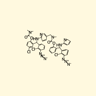 CN(C)C(=O)Oc1ccc(Cl)cc1C(Nc1ccc(CN(C)C(=O)Oc2ccccc2C(Nc2ccccn2)c2cccc(N=[N+]=[N-])c2Cl)cn1)c1cccc(N=[N+]=[N-])c1Cl